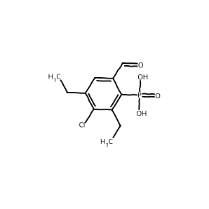 CCc1cc(C=O)c(P(=O)(O)O)c(CC)c1Cl